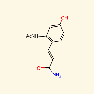 CC(=O)Nc1cc(O)ccc1/C=C/C(N)=O